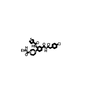 CCNC(=O)N1CCCN(c2ccc(C(=O)NC(Cl)Cc3ccc(Cl)cc3)cc2NC(=O)c2ccsc2)CC1